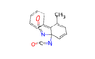 CC1=CC=CC(N=C=O)(N=C=O)C1=C1C=CC=CC1